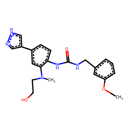 COc1cccc(CNC(=O)Nc2ccc(-c3cn[nH]c3)cc2N(C)CCO)c1